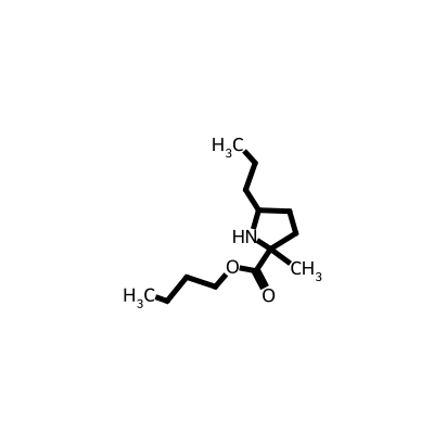 CCCCOC(=O)C1(C)CCC(CCC)N1